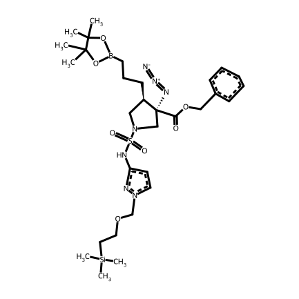 CC1(C)OB(CCC[C@@H]2CN(S(=O)(=O)Nc3ccn(COCC[Si](C)(C)C)n3)C[C@]2(N=[N+]=[N-])C(=O)OCc2ccccc2)OC1(C)C